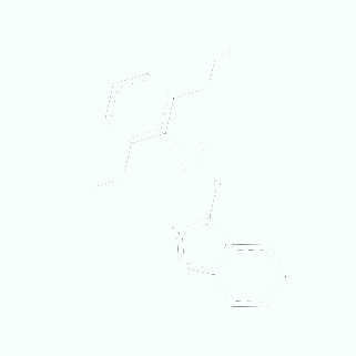 COc1cccc(OC)c1S(=O)(=O)Nc1noc2ccccc12